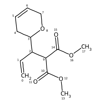 C=CC(C1CC=CCO1)C(C(=O)OC)C(=O)OC